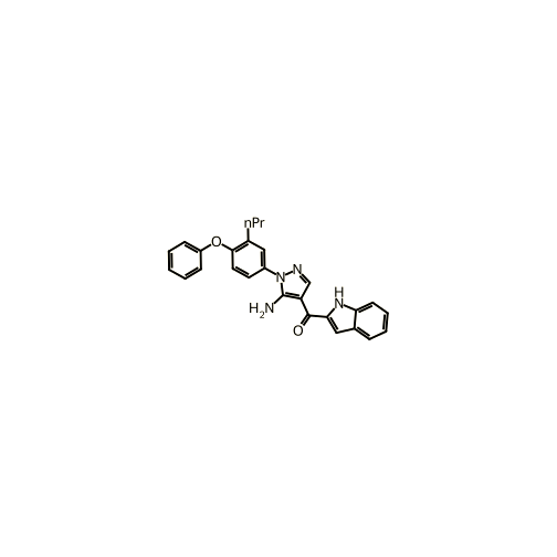 CCCc1cc(-n2ncc(C(=O)c3cc4ccccc4[nH]3)c2N)ccc1Oc1ccccc1